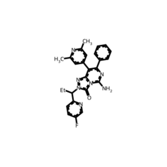 CCC(c1ccc(F)cn1)n1nc2c(-c3cc(C)nc(C)c3)c(-c3ccccc3)nc(N)n2c1=O